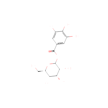 O=C(OC1O[C@H](CO)[C@@H](O)[C@H](O)[C@H]1O)c1cc(O)c(O)c(O)c1